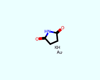 O=C1CCC(=O)N1.[Au].[KH]